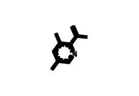 C=C(C)c1ncc(C)cc1C